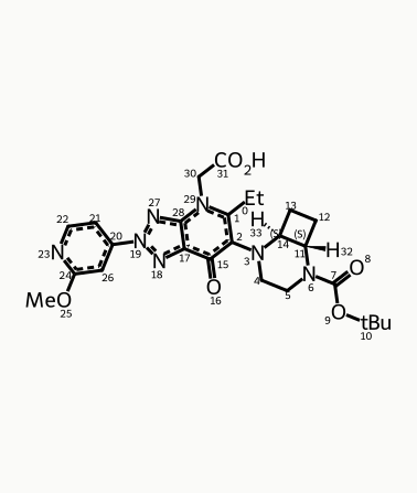 CCc1c(N2CCN(C(=O)OC(C)(C)C)[C@H]3CC[C@@H]32)c(=O)c2nn(-c3ccnc(OC)c3)nc2n1CC(=O)O